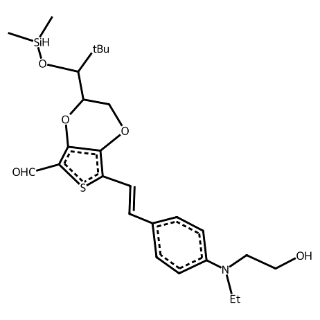 CCN(CCO)c1ccc(C=Cc2sc(C=O)c3c2OCC(C(O[SiH](C)C)C(C)(C)C)O3)cc1